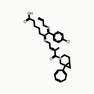 C=CC/N=C(\C(CCCCC(=O)O)=N/C/C=C(\C)C(=O)N1CCC2CC2(C2=CCC=CC=C2)C1)c1ccc(Cl)cc1